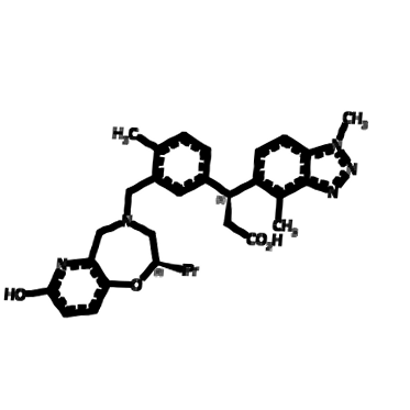 Cc1ccc([C@H](CC(=O)O)c2ccc3c(nnn3C)c2C)cc1CN1Cc2nc(O)ccc2O[C@H](C(C)C)C1